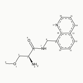 COC[C@H](N)C(=O)NCc1cccc2cccnc12